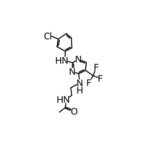 CC(=O)NCCNc1nc(Nc2cccc(Cl)c2)ncc1C(F)(F)F